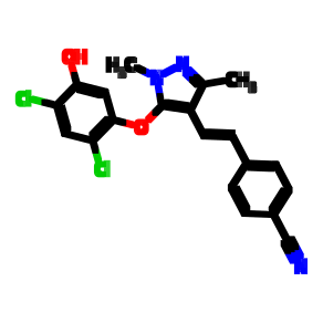 Cc1nn(C)c(Oc2cc(O)c(Cl)cc2Cl)c1C=Cc1ccc(C#N)cc1